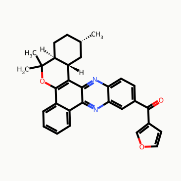 C[C@H]1CC[C@H]2[C@H](C1)c1c(c3ccccc3c3nc4cc(C(=O)c5ccoc5)ccc4nc13)OC2(C)C